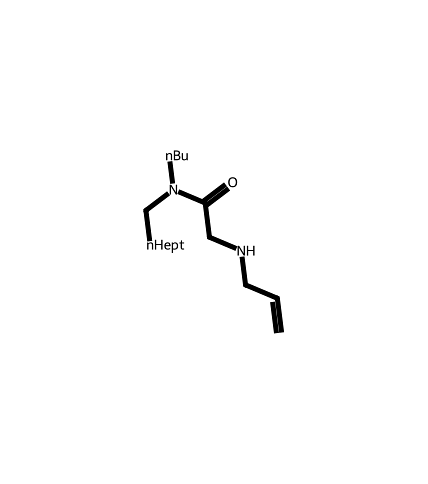 C=CCNCC(=O)N(CCCC)CCCCCCCC